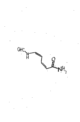 NC(=O)/C=C\C=C/NC=O